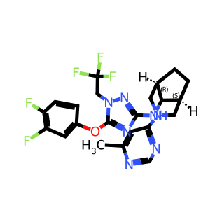 Cc1cc(N2C[C@H]3CC[C@@H](C2)C3Nc2nc(Oc3ccc(F)c(F)c3)n(CC(F)(F)F)n2)ncn1